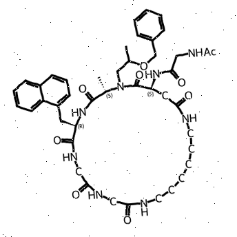 CC(=O)NCC(=O)N[C@H]1CC(=O)NCCCCCCNC(=O)CNC(=O)CNC(=O)[C@@H](Cc2cccc3ccccc23)NC(=O)[C@H](C)N(CC(C)OCc2ccccc2)C1=O